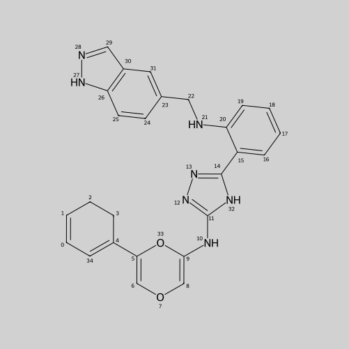 C1=CCCC(C2=COC=C(Nc3nnc(-c4ccccc4NCc4ccc5[nH]ncc5c4)[nH]3)O2)=C1